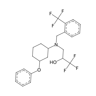 OC(CN(Cc1ccccc1C(F)(F)F)C1CCCC(Oc2ccccc2)C1)C(F)(F)F